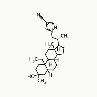 CC[C@]12CC[C@@](C)(O)C[C@H]1CC[C@H]1[C@@H]3CC[C@H]([C@@H](C)Cn4cc(C#N)cn4)[C@@]3(C)CC[C@@H]12